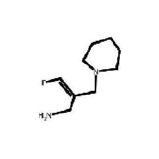 NCC(=CF)CN1CCCCC1